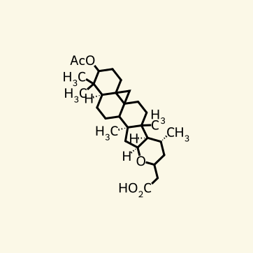 CC(=O)OC1CCC23CC24CCC2(C)[C@H]5[C@H](C)CC(CC(=O)O)O[C@H]5C[C@@]2(C)C4CC[C@H]3C1(C)C